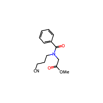 COC(=O)CN(CCCC#N)C(=O)c1ccccc1